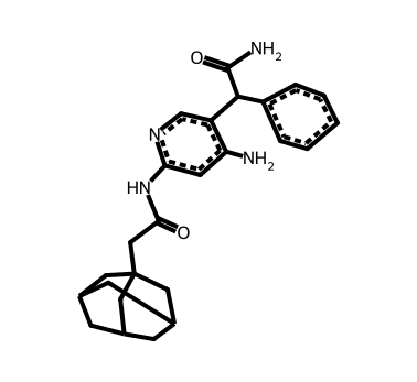 NC(=O)C(c1ccccc1)c1cnc(NC(=O)CC23CC4CC(CC(C4)C2)C3)cc1N